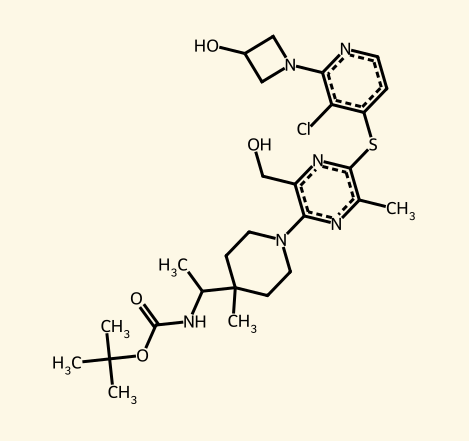 Cc1nc(N2CCC(C)(C(C)NC(=O)OC(C)(C)C)CC2)c(CO)nc1Sc1ccnc(N2CC(O)C2)c1Cl